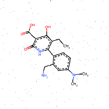 CCc1c(-c2ccc(N(C)C)cc2CN)[nH]c(=O)c(C(=O)O)c1O